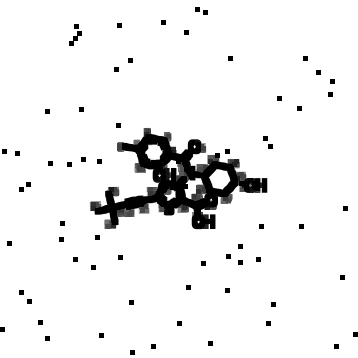 Cc1ccc(C(=O)N(c2cc(C#CC(C)(C)C)sc2C(=O)O)[C@H]2CC[C@H](O)CC2)c(O)c1